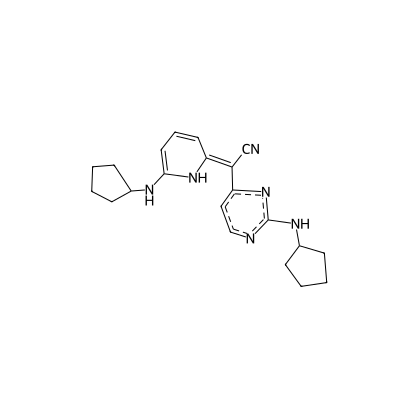 N#C/C(=C1\C=CC=C(NC2CCCC2)N1)c1ccnc(NC2CCCC2)n1